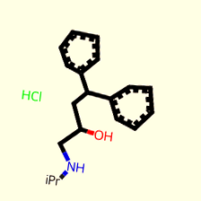 CC(C)NCC(O)CC(c1ccccc1)c1ccccc1.Cl